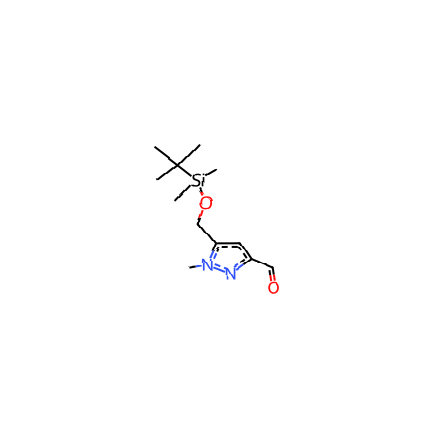 Cn1nc(C=O)cc1CO[Si](C)(C)C(C)(C)C